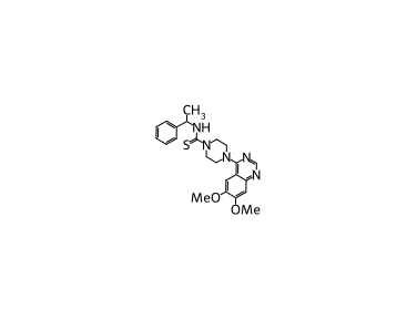 COc1cc2ncnc(N3CCN(C(=S)NC(C)c4ccccc4)CC3)c2cc1OC